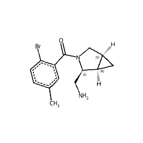 Cc1ccc(Br)c(C(=O)N2C[C@H]3C[C@H]3[C@H]2CN)c1